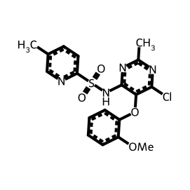 COc1ccccc1Oc1c(Cl)nc(C)nc1NS(=O)(=O)c1ccc(C)cn1